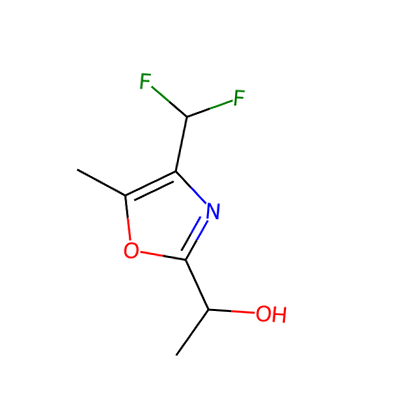 Cc1oc(C(C)O)nc1C(F)F